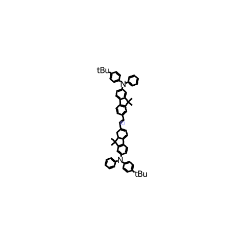 CC(C)(C)c1ccc(N(c2ccccc2)c2ccc3c(c2)C(C)(C)c2cc(/C=C/C4=CC=C5c6ccc(N(c7ccccc7)c7ccc(C(C)(C)C)cc7)cc6C(C)(C)C5C4)ccc2-3)cc1